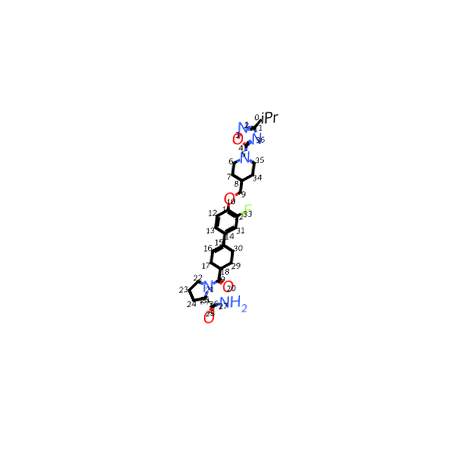 CC(C)c1noc(N2CCC(COc3ccc(C4=CCC(C(=O)N5CCC[C@H]5C(N)=O)CC4)cc3F)CC2)n1